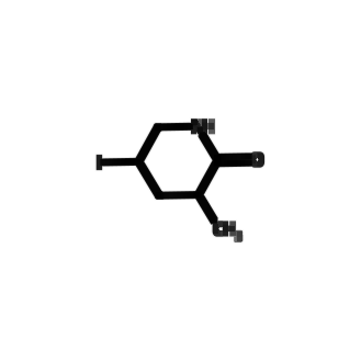 CC1CC(I)CNC1=O